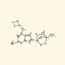 CC12CCC(c3cn4cc(Br)nc(OC5CCC5)c4n3)(CO1)C2